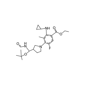 CCOC(=O)c1cc(F)c(N2CCC(C(NC=O)OC(C)(C)C)C2)c(C)c1NC1CC1